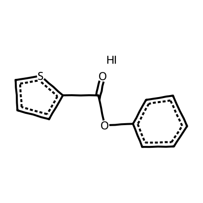 I.O=C(Oc1ccccc1)c1cccs1